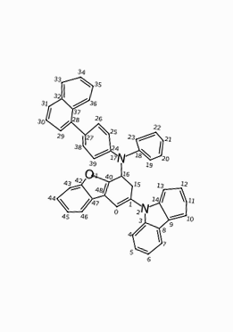 C1=C(n2c3ccccc3c3ccccc32)CC(N(c2ccccc2)c2ccc(-c3cccc4ccccc34)cc2)c2oc3ccccc3c21